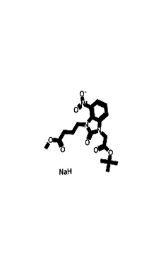 COC(=O)CCCn1c(=O)n(CC(=O)OC(C)(C)C)c2cccc([N+](=O)[O-])c21.[NaH]